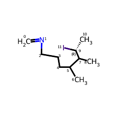 C=NCCCC(C)C(C)[C@@H](C)I